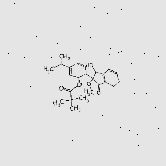 COC1(C2C=CC(C(C)C)=CC2OC(=O)C(C)(C)C)C(=O)C2=C(C=CCC2)C1O